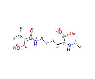 CC(C)N[C@@H](CCCCNC(=O)C(CO)C(C)C)C(=O)O